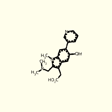 CN(C)Cc1c(CC(=O)O)c2cc(O)c(-c3cccnc3)cc2n1C